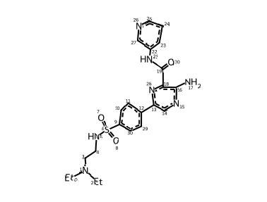 CCN(CC)CCNS(=O)(=O)c1ccc(-c2cnc(N)c(C(=O)Nc3cccnc3)n2)cc1